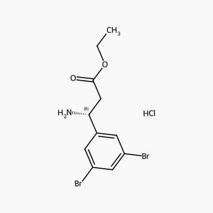 CCOC(=O)C[C@@H](N)c1cc(Br)cc(Br)c1.Cl